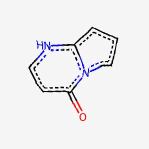 O=c1cc[nH]c2cccn12